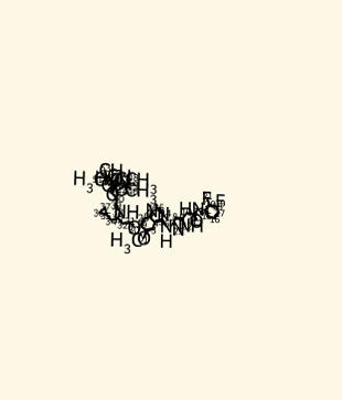 COc1cc2c(Nc3cc(CC(=O)Nc4cccc(F)c4F)[nH]n3)ncnc2cc1OCCC(CC1CC1)NCCOP(=O)(OC(C)(C)C)OC(C)(C)C